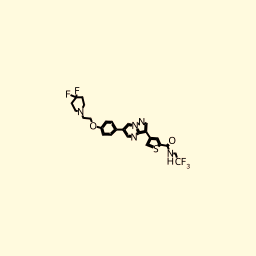 O=C(NCC(F)(F)F)c1cc(-c2cnn3cc(-c4ccc(OCCN5CCC(F)(F)CC5)cc4)cnc23)cs1